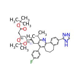 CC(C)c1nc2c(c(-c3ccc(F)cc3)c1/C=C/[C@@H]1C[C@H](CC(=O)OC(C)(C)C)OC(C)(C)O1)CCCc1cc(-c3nnc[nH]3)ccc1-2